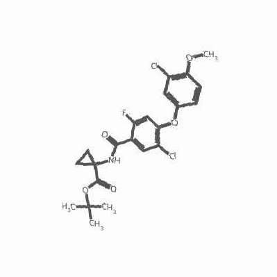 COc1ccc(Oc2cc(F)c(C(=O)NC3(C(=O)OC(C)(C)C)CC3)cc2Cl)cc1Cl